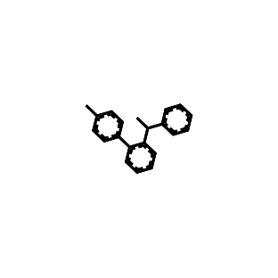 Cc1ccc(-c2ccccc2C(C)c2ccccc2)cc1